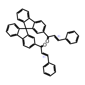 O=C(/C=C/c1ccccc1)c1ccc2c(c1)C1(c3ccccc3-2)c2ccccc2-c2ccc(C(=O)/C=C/c3ccccc3)cc21